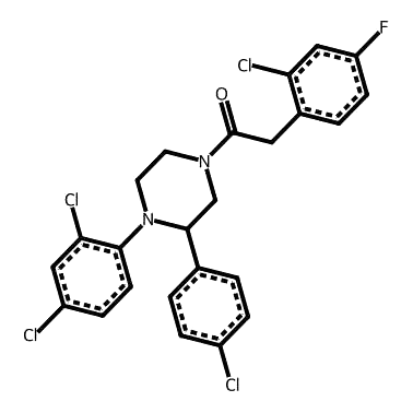 O=C(Cc1ccc(F)cc1Cl)N1CCN(c2ccc(Cl)cc2Cl)C(c2ccc(Cl)cc2)C1